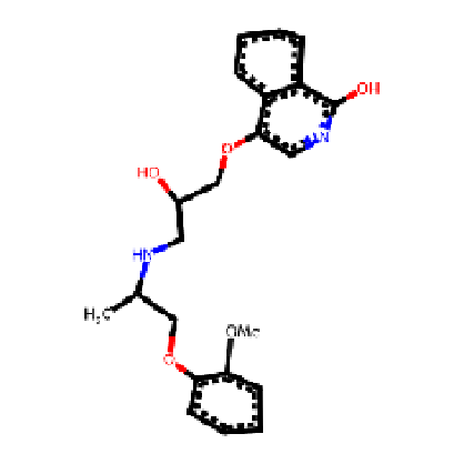 COc1ccccc1OCC(C)NCC(O)COc1cnc(O)c2ccccc12